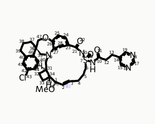 CO[C@H]1/C=C/CCCS(=O)(NC(=O)CCc2cncnc2)=NC(=O)c2ccc3c(c2)N(C[C@@H]2CC[C@H]21)C[C@@]1(CCCc2cc(Cl)ccc21)CO3